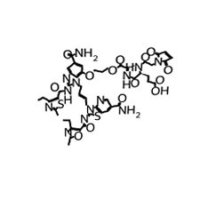 CCc1nc(C)oc1C(=O)/N=c1\sc2cc(C(N)=O)cnc2n1C/C=C/Cn1c(NC(=O)c2sc(C)nc2CC)nc2cc(C(N)=O)cc(OCCCOC(=O)[C@H](C)NC(=O)[C@H](CCC(=O)O)NC(=O)CN3C(=O)C=CC3=O)c21